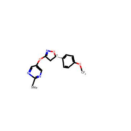 CSc1ncc(OC2=NO[C@H](c3ccc(OC(F)(F)F)cc3)C2)cn1